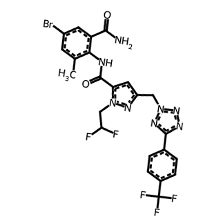 Cc1cc(Br)cc(C(N)=O)c1NC(=O)c1cc(Cn2nnc(-c3ccc(C(F)(F)F)cc3)n2)nn1CC(F)F